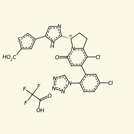 O=C(O)C(F)(F)F.O=C(O)c1cc(-c2cnc([C@@H]3CCc4c(Cl)c(-c5cc(Cl)ccc5-n5cnnn5)cc(=O)n43)[nH]2)cs1